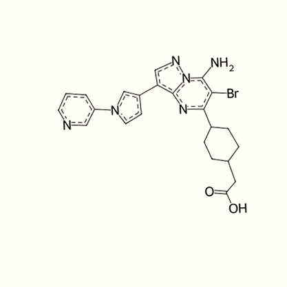 Nc1c(Br)c(C2CCC(CC(=O)O)CC2)nc2c(-c3ccn(-c4cccnc4)c3)cnn12